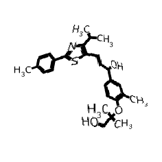 Cc1ccc(-c2nc(C(C)C)c(CCC(O)c3ccc(OC(C)(C)CO)c(C)c3)s2)cc1